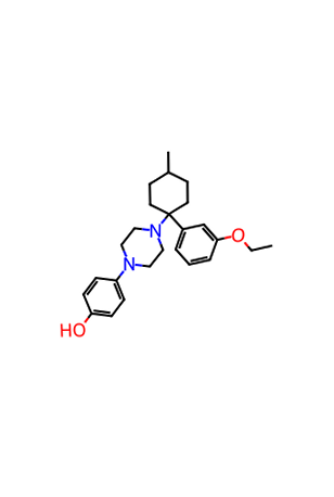 CCOc1cccc(C2(N3CCN(c4ccc(O)cc4)CC3)CCC(C)CC2)c1